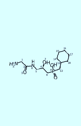 NCC(=O)NC[C@@H](O)CP(=O)(O)CC1CCCCC1